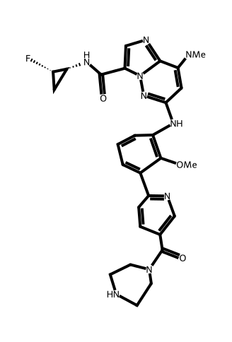 CNc1cc(Nc2cccc(-c3ccc(C(=O)N4CCNCC4)cn3)c2OC)nn2c(C(=O)N[C@@H]3C[C@@H]3F)cnc12